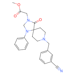 COC(=O)CN1CN(c2ccccc2)C2(CCN(Cc3cccc(C#N)c3)CC2)C1=O